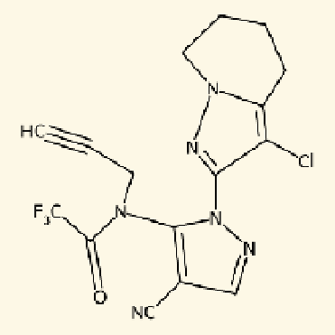 C#CCN(C(=O)C(F)(F)F)c1c(C#N)cnn1-c1nn2c(c1Cl)CCCC2